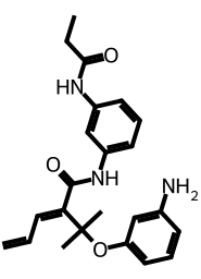 C=C/C=C(/C(=O)Nc1cccc(NC(=O)CC)c1)C(C)(C)Oc1cccc(N)c1